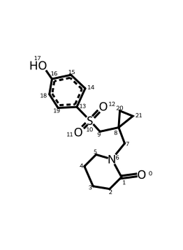 O=C1CCCCN1CC1(CS(=O)(=O)c2ccc(O)cc2)CC1